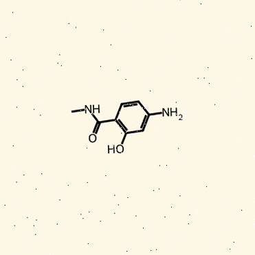 CNC(=O)c1ccc(N)cc1O